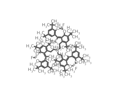 C/C1=C2\C(CCN(CCC3=C(C(C)(C)C)C=C(C(C)(C)C)C4OP(F)Oc5c(cc(C(C)(C)C)cc5C(C)(C)C)/C(C)=C/34)CCC3=C(C(C)(C)C)C=C(C(C)(C)C)C4OP(F)Oc5c(cc(C(C)(C)C)cc5C(C)(C)C)/C(C)=C/34)=C(C(C)(C)C)C=C(C(C)(C)C)C2OP(F)Oc2c1cc(C(C)(C)C)cc2C(C)(C)C